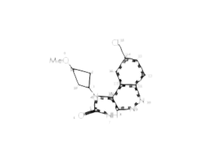 COC1CC(n2c(=O)[nH]c3nnc4ccc(Cl)cc4c32)C1